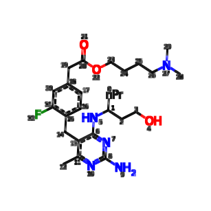 CCCC(CCO)Nc1nc(N)nc(C)c1Cc1ccc(CC(=O)OCCCCN(C)C)cc1F